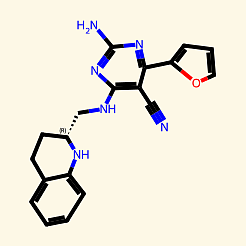 N#Cc1c(NC[C@H]2CCc3ccccc3N2)nc(N)nc1-c1ccco1